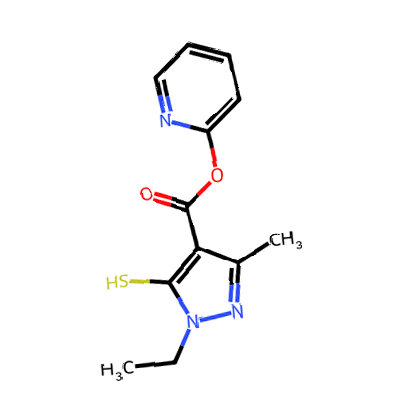 CCn1nc(C)c(C(=O)Oc2ccccn2)c1S